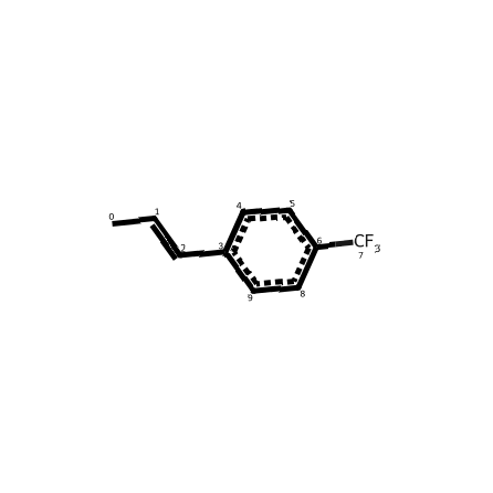 C/C=C/c1ccc(C(F)(F)F)cc1